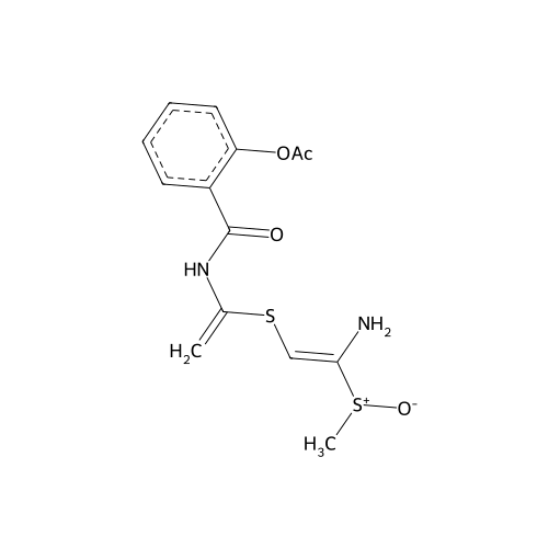 C=C(NC(=O)c1ccccc1OC(C)=O)S/C=C(\N)[S+](C)[O-]